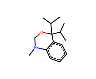 CC(C)C1(C(C)C)OCN(C)c2ccccc21